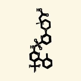 Cc1ccccc1-c1nc(NS(=O)(=O)c2cccc(N3CCC[C@](C)(CC(=O)O)C3)n2)ccc1C(F)(F)F